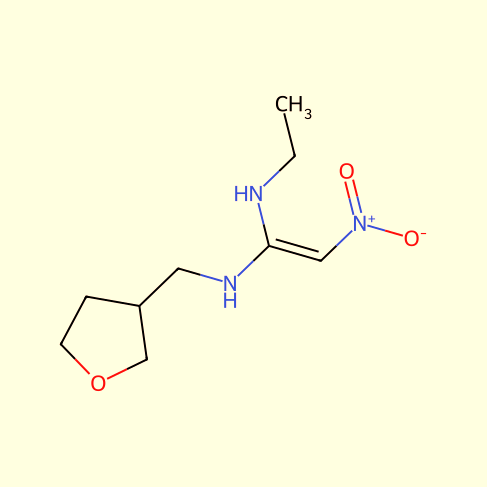 CCNC(=C[N+](=O)[O-])NCC1CCOC1